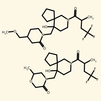 CC1CN(CC2(O)CCN(C(=O)C(C)CC(F)(F)F)CC23CCCC3)C(=O)CO1.COCC1CCN(CC2(O)CCN(C(=O)C(C)CC(F)(F)F)CC23CCCC3)C(=O)C1